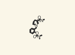 CNC(=O)C1=CN(Cc2ccccc2OC(=O)N(C)C)C=CC1